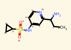 CCC(N)c1cc(NS(=O)(=O)C2CC2)ccn1